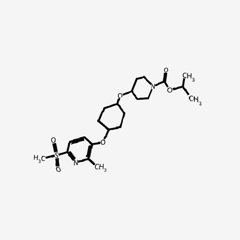 Cc1nc(S(C)(=O)=O)ccc1OC1CCC(OC2CCN(C(=O)OC(C)C)CC2)CC1